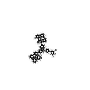 Cc1cc(C)cc(-c2ccc(-n3c4ccc(-c5ccc6c(c5)C5(c7ccccc7-c7ccccc75)c5ccccc5-6)cc4c4cc(-c5ccc6c(c5)C5(c7ccccc7-c7ccccc75)c5ccccc5-6)ccc43)cc2)c1